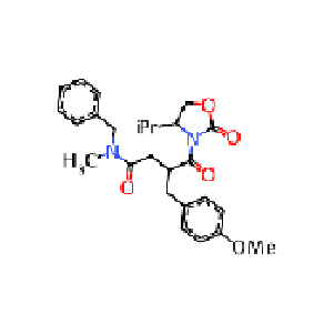 COc1ccc(CC(CC(=O)N(C)Cc2ccccc2)C(=O)N2C(=O)OCC2C(C)C)cc1